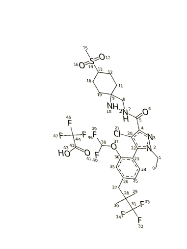 CCn1nc(C(=O)NCC2(N)CCC(S(C)(=O)=O)CC2)c(Cl)c1-c1ccc(CC(C)(C)C(F)(F)F)cc1OC(F)F.O=C(O)C(F)(F)F